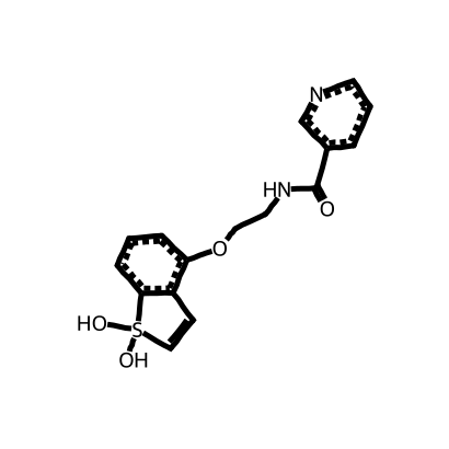 O=C(NCCOc1cccc2c1C=CS2(O)O)c1cccnc1